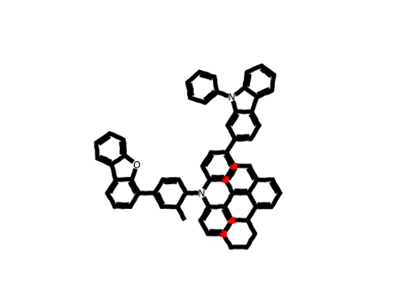 CC1C=C(c2cccc3c2oc2ccccc23)C=CC1N(c1ccc(-c2ccc3c4ccccc4n(-c4ccccc4)c3c2)cc1)c1ccccc1-c1cccc2cccc(C3CCCCC3)c12